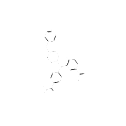 CCN(CC)C(=O)c1ccc(N(c2cc(C(N)=O)ccc2F)C2CCN(Cc3ccncc3)CC2)cc1